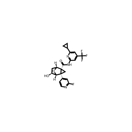 O=C(Nc1cc(C(F)(F)F)cc(C2CC2)n1)[C@]12C[C@@]1(c1ccnc(F)c1)[C@H]1O[C@@H]2C[C@@H]1O